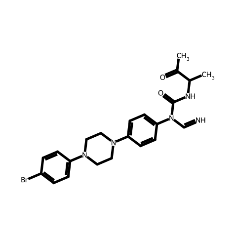 CC(=O)C(C)NC(=O)N(C=N)c1ccc(N2CCN(c3ccc(Br)cc3)CC2)cc1